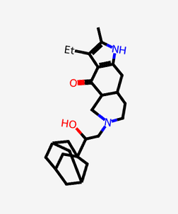 CCc1c(C)[nH]c2c1C(=O)C1CN(CC(O)C34CC5CC(CC(C5)C3)C4)CCC1C2